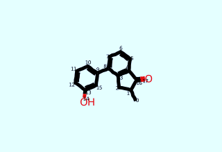 CC1Cc2c(cccc2-c2cccc(O)c2)C1=O